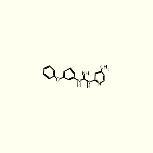 Cc1ccnc(NC(=N)Nc2cccc(Oc3ccccc3)c2)c1